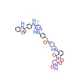 O=C1CCC(N2C(=O)c3cccc(NCC4CCN(C(=O)Cc5ccc(Nc6ncc(F)c(Nc7ccc(C(=O)Nc8ccccc8Cl)cc7)n6)cc5)CC4)c3C2=O)C(=O)N1